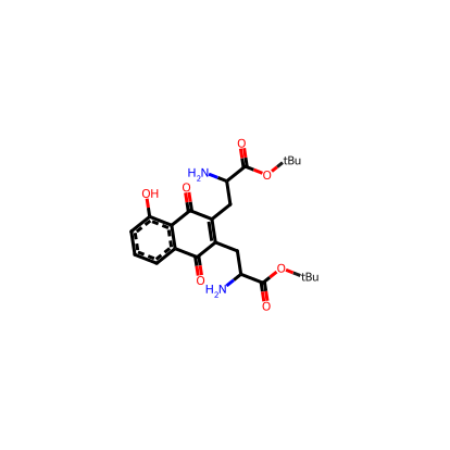 CC(C)(C)OC(=O)C(N)CC1=C(CC(N)C(=O)OC(C)(C)C)C(=O)c2c(O)cccc2C1=O